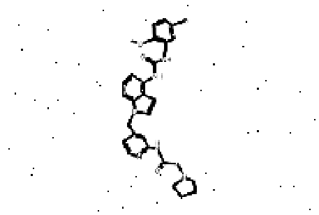 COc1ccc(Br)cc1NC(=O)Nc1cccc2c1ccn2Cc1ccnc(NC(=O)CN2CCCC2)c1